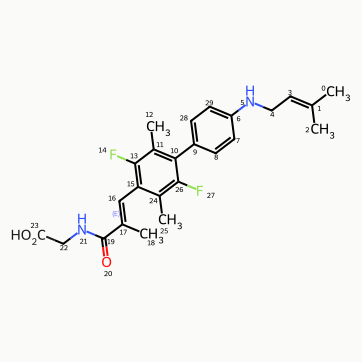 CC(C)=CCNc1ccc(-c2c(C)c(F)c(/C=C(\C)C(=O)NCC(=O)O)c(C)c2F)cc1